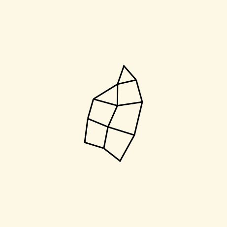 C1C2CC3C4C56CC5C5C1C23C546